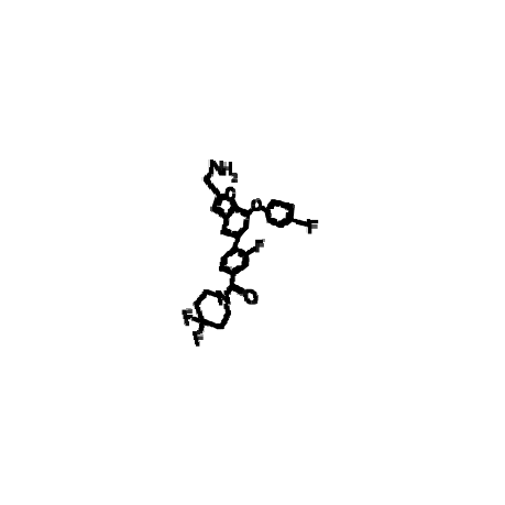 NCc1cc2cc(-c3ccc(C(=O)N4CCC(F)(F)CC4)cc3F)cc(Oc3ccc(F)cc3)c2o1